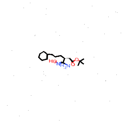 CC(C)(C)OC(=O)C[C@@H](CCCC1CCCCC1)/C(N)=N\O